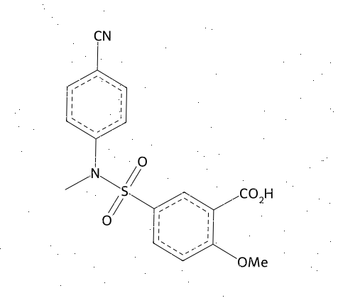 COc1ccc(S(=O)(=O)N(C)c2ccc(C#N)cc2)cc1C(=O)O